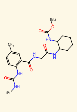 CC(C)NC(=O)Nc1ccc(C(F)(F)F)cc1C(=O)NCC(=O)NC1CCCCC1NC(=O)OC(C)(C)C